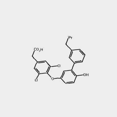 CC(C)Cc1cccc(-c2cc(Oc3c(Cl)cc(CC(=O)O)cc3Cl)ccc2O)c1